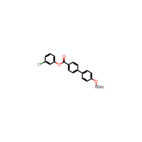 CCCCCCCCCCOc1ccc(-c2ccc(C(=O)Oc3cccc(Cl)c3)cc2)cc1